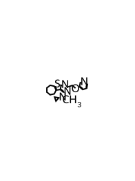 CN(c1nc(COc2cccnc2)nc2sc3c(c12)CCCCC3)C1CC1